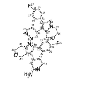 Nc1cc(-c2c3n([n+](-[n+]4cc(-c5c(-c6ccc(F)cc6)nn6c5COCC6)ccn4)c2-c2ccc(F)cc2)CCOC3)ccn1